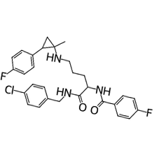 CC1(NCCCC(NC(=O)c2ccc(F)cc2)C(=O)NCc2ccc(Cl)cc2)CC1c1ccc(F)cc1